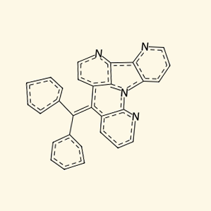 c1ccc(C(c2ccccc2)=c2c3cccnc3n3c4cccnc4c4nccc2c43)cc1